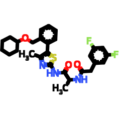 Cc1nc(NC(=O)C(C)NC(=O)Cc2cc(F)cc(F)c2)sc1-c1ccccc1COC1CCCCC1